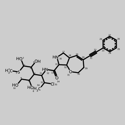 CSC(O)C(O)C(C(O)CO)C(NC(=O)C1NCC2C=C(C#Cc3ccccc3)CCOC21)C(C)Cl